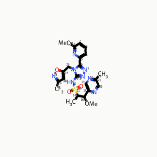 COc1cccc(-c2nnc(NS(=O)(=O)C(C)C(OC)c3cnc(C)cn3)n2Cc2cc(C(F)(F)F)no2)n1